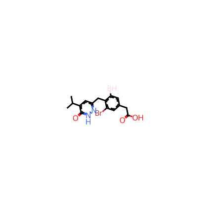 Bc1cc(CC(=O)O)cc(Br)c1Cc1cc(C(C)C)c(=O)[nH]n1